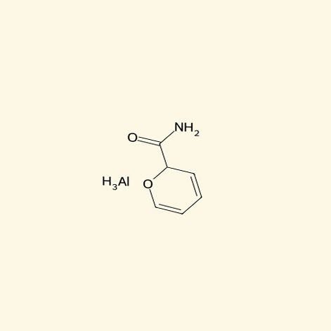 NC(=O)C1C=CC=CO1.[AlH3]